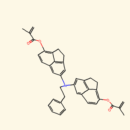 C=C(C)C(=O)Oc1ccc2cc(N(CCc3ccccc3)c3cc4c5c(c(OC(=O)C(=C)C)ccc5c3)CC4)cc3c2c1CC3